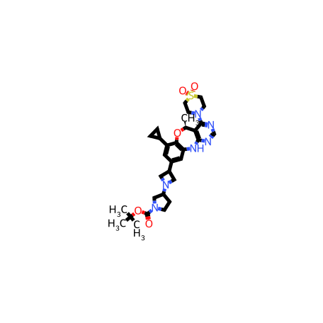 C[C@H]1Oc2c(cc(C3CN(C4CCN(C(=O)OC(C)(C)C)C4)C3)cc2C2CC2)Nc2ncnc(N3CCS(=O)(=O)CC3)c21